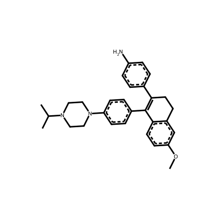 COc1ccc2c(c1)CCC(c1ccc(N)cc1)=C2c1ccc(N2CCN(C(C)C)CC2)cc1